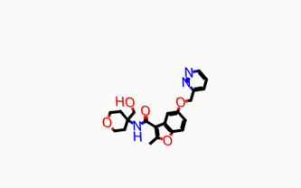 Cc1oc2ccc(OCc3cccnn3)cc2c1C(=O)NC1(CO)CCOCC1